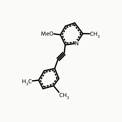 COc1ccc(C)nc1C#Cc1cc(C)cc(C)c1